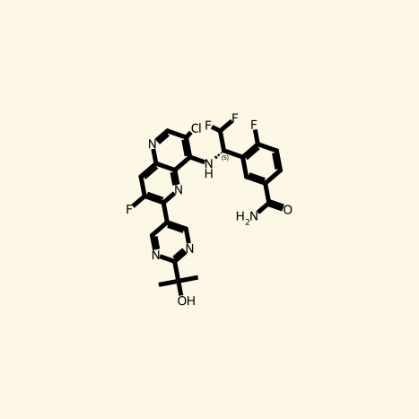 CC(C)(O)c1ncc(-c2nc3c(N[C@@H](c4cc(C(N)=O)ccc4F)C(F)F)c(Cl)cnc3cc2F)cn1